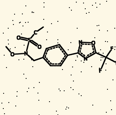 CCS(=O)(=O)N(Cc1ccc(-c2noc(C(F)(F)F)n2)cc1)OC